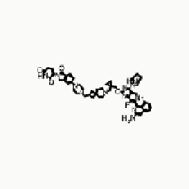 CCc1cccc2cc(N)nc(-c3ncc4c(N5CC6CCC(C5)N6)nc(OCC5(CN6CCC7(CC6)CC(CN6CCN(c8ccc9c(c8)CN([C@H]8CCC(=O)NC8=O)C9=O)CC6)C7)CC5)nc4c3F)c12